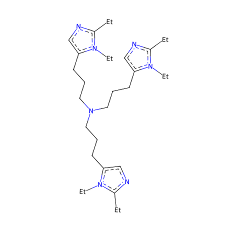 CCc1ncc(CCCN(CCCc2cnc(CC)n2CC)CCCc2cnc(CC)n2CC)n1CC